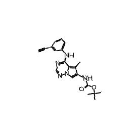 C#Cc1cccc(Nc2ncnn3cc(NC(=O)OC(C)(C)C)c(C)c23)c1